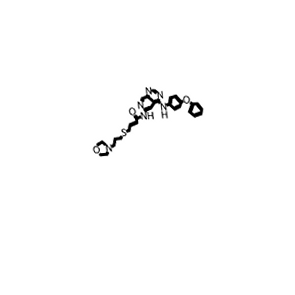 O=C(C=CCSCCCN1CCOCC1)Nc1cc2c(Nc3ccc(Oc4ccccc4)cc3)ncnc2cn1